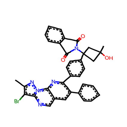 Cc1nn2c(ncc3cc(-c4ccccc4)c(-c4ccc(C5(N6C(=O)c7ccccc7C6=O)CC(C)(O)C5)cc4)nc32)c1Br